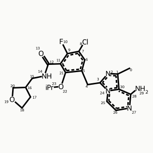 Cc1nc(Cc2cc(Cl)c(F)c(C(=O)NCC3CCOC3)c2OC(C)C)n2ccnc(N)c12